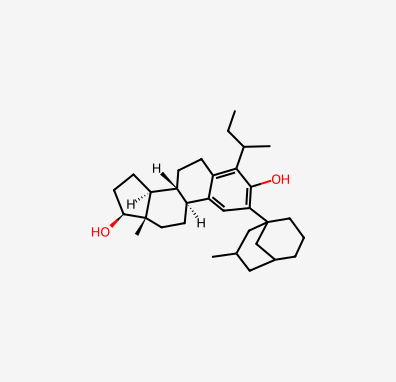 CCC(C)c1c(O)c(C23CCCC(CC(C)C2)C3)cc2c1CC[C@@H]1[C@@H]2CC[C@]2(C)[C@@H](O)CC[C@@H]12